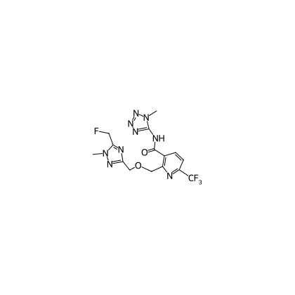 Cn1nc(COCc2nc(C(F)(F)F)ccc2C(=O)Nc2nnnn2C)nc1CF